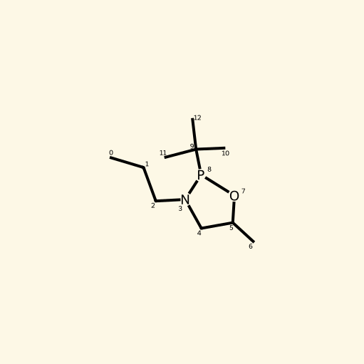 CCCN1CC(C)OP1C(C)(C)C